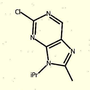 Cc1nc2cnc(Cl)nc2n1C(C)C